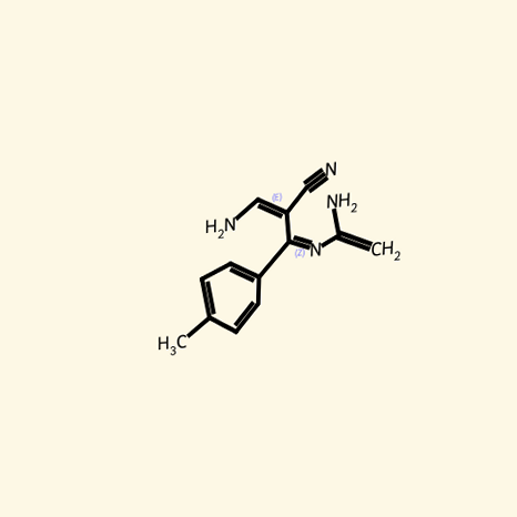 C=C(N)/N=C(\C(C#N)=C/N)c1ccc(C)cc1